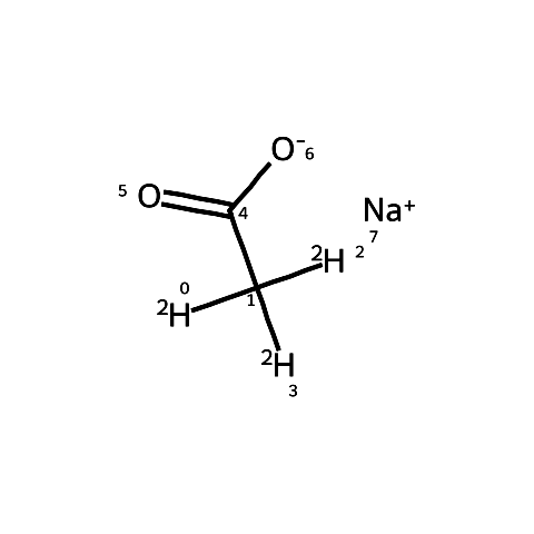 [2H]C([2H])([2H])C(=O)[O-].[Na+]